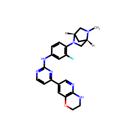 CN1C[C@@H]2C[C@H]1CN2c1ccc(Nc2nccc(-c3cnc4c(c3)OCCN4)n2)cc1F